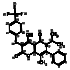 Cc1c(-c2ccccc2)n(C(C)C)c(=O)c2c(O)c(Sc3ccc(C(F)(F)F)cc3)c(=O)oc12